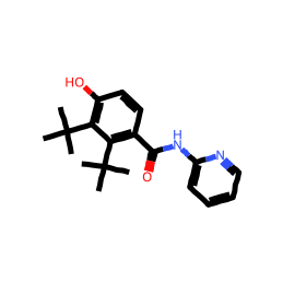 CC(C)(C)c1c(O)ccc(C(=O)Nc2ccccn2)c1C(C)(C)C